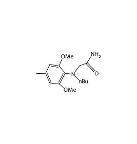 CCCCN(CC(N)=O)c1c(OC)cc(C)cc1OC